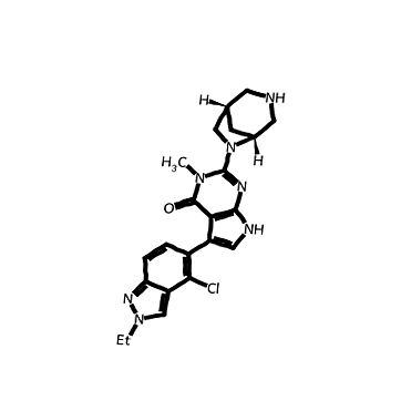 CCn1cc2c(Cl)c(-c3c[nH]c4nc(N5C[C@@H]6CNC[C@H]5C6)n(C)c(=O)c34)ccc2n1